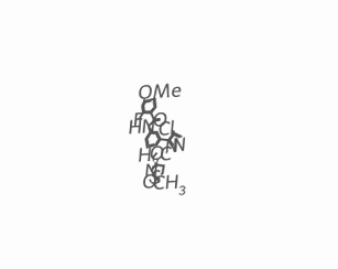 COc1ccc(C(=O)Nc2ccc(OC[C@@H]3CCS(C)(=O)=N3)c(-c3c(Cl)cnn3C)c2)c(F)c1